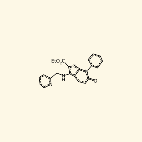 CCOC(=O)c1sc2c(ccc(=O)n2-c2ccccc2)c1NCc1ccccn1